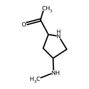 CNC1CNC(C(C)=O)C1